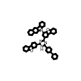 c1ccc(-c2ccc(C3=NC(c4cc(-n5c6ccccc6c6cc7ccccc7cc65)c5oc6ccccc6c5c4)=NC(c4ccc5c(c4)oc4ccccc45)N3)cc2)cc1